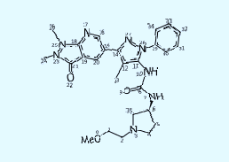 COCCN1CC[C@H](NC(=O)Nc2c(C)c(-c3cnc4c(c3)c(=O)n(C)n4C)nn2-c2ccccc2)C1